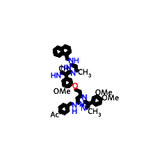 COc1ccc(-c2c(C)nn3c(NCc4ccc(C(C)=O)cc4)cc(CCOc4cc(/C(C(C)=N)=C5\N=C(C)C=C(NCc6cccc7ccccc67)N5)ccc4OC)nc23)cc1OC